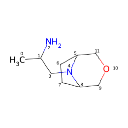 CC(N)CN1C2CCC1COC2